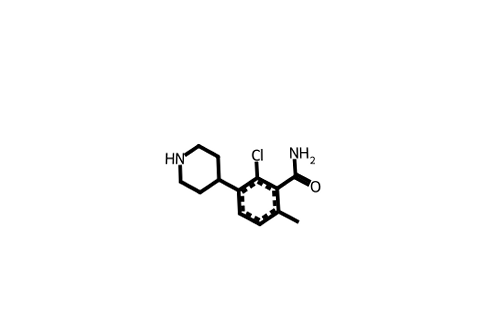 Cc1ccc(C2CCNCC2)c(Cl)c1C(N)=O